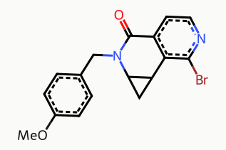 COc1ccc(CN2C(=O)c3ccnc(Br)c3C3CC32)cc1